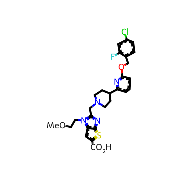 COCCn1c(CN2CCC(c3cccc(OCc4ccc(Cl)cc4F)n3)CC2)nc2sc(C(=O)O)cc21